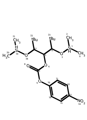 C[SiH](C)OC(C(OC(=O)Oc1ccc([N+](=O)[O-])cc1)C(O[SiH](C)C)C(C)(C)C)C(C)(C)C